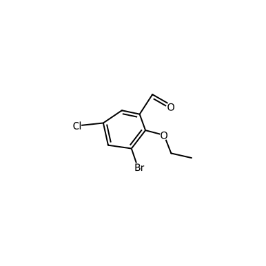 CCOc1c(Br)cc(Cl)cc1C=O